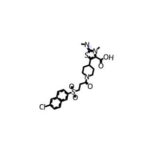 C/N=c1\sc(C2CCN(C(=O)CCS(=O)(=O)c3ccc4cc(Cl)ccc4c3)CC2)c(C(=O)O)n1C